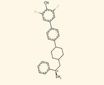 C[C@H](CC1CCC(c2ccc(-c3cc(F)c(C#N)c(F)c3)cc2)CC1)c1ccccc1